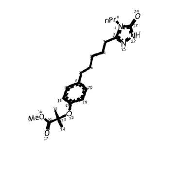 CCCn1c(CCCCCc2ccc(OC(C)(C)C(=O)OC)cc2)n[nH]c1=O